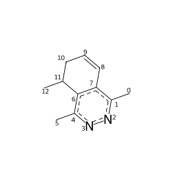 Cc1nnc(C)c2c1C=CCC2C